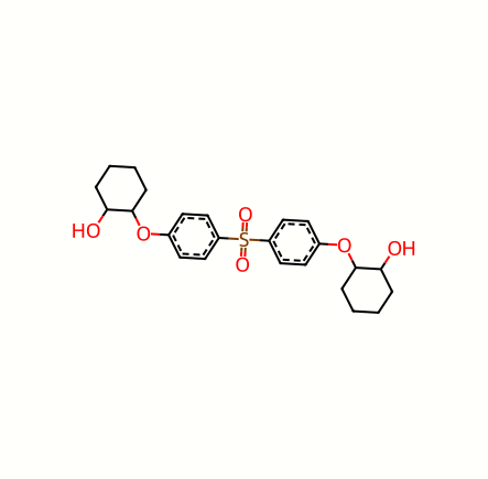 O=S(=O)(c1ccc(OC2CCCCC2O)cc1)c1ccc(OC2CCCCC2O)cc1